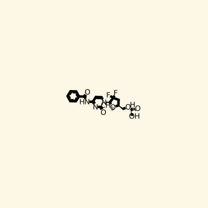 CN(/C=C\C(=N/C=O)NC(=O)c1ccccc1)[C@@H]1O[C@H](CO[PH](=O)O)CC1(F)F